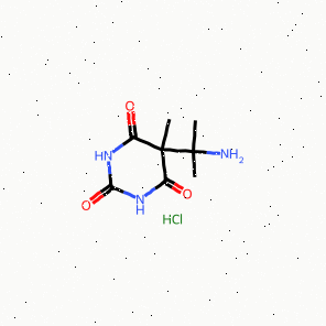 CC(C)(N)C1(C)C(=O)NC(=O)NC1=O.Cl